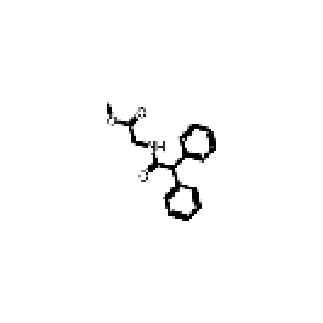 COC(=O)CNC(=O)C(c1ccccc1)c1ccccc1